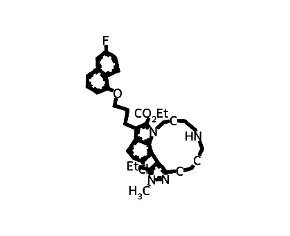 CCOC(=O)c1c(CCCOc2cccc3cc(F)ccc23)c2ccc(Cl)c3c2n1CCCCNCCCCc1nn(C)c(CC)c1-3